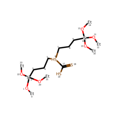 CCO[Si](CCC[SH](CCC[Si](OCC)(OCC)OCC)C(=S)S)(OCC)OCC